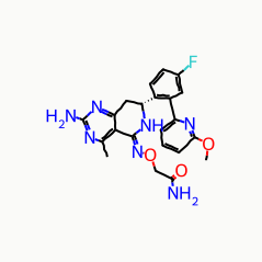 COc1cccc(-c2cc(F)ccc2[C@H]2Cc3nc(N)nc(C)c3/C(=N/OCC(N)=O)N2)n1